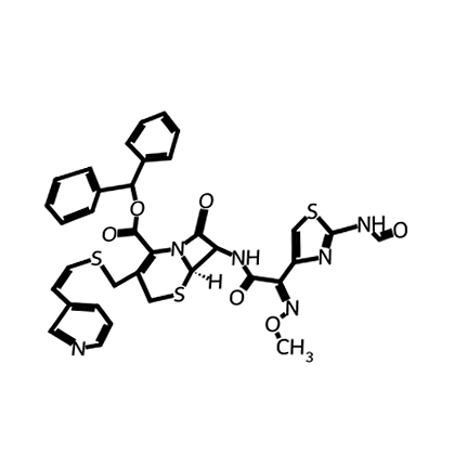 CO/N=C(\C(=O)NC1C(=O)N2C(C(=O)OC(c3ccccc3)c3ccccc3)=C(CS/C=C\c3cccnc3)CS[C@H]12)c1csc(NC=O)n1